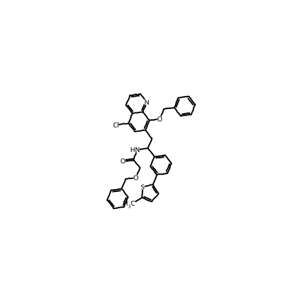 Cc1ccc(-c2cccc(C(Cc3cc(Cl)c4cccnc4c3OCc3ccccc3)NC(=O)COCc3ccccc3)c2)s1